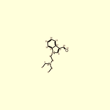 CCN(CC)CCn1cc(C=O)c2ccccc21